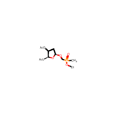 CCOP(C)(=O)CO[C@@H]1CC(OC(C)=O)[C@H](OC(C)=O)O1